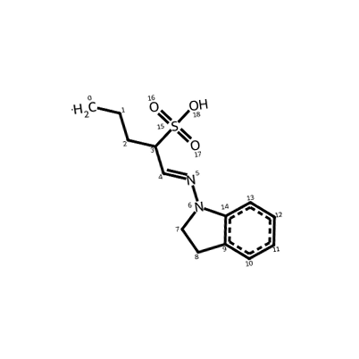 [CH2]CCC(C=NN1CCc2ccccc21)S(=O)(=O)O